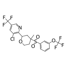 CC1(S(=O)(=O)c2cccc(OC(F)(F)F)c2)CCOC(c2ncc(C(F)(F)F)cc2Cl)C1